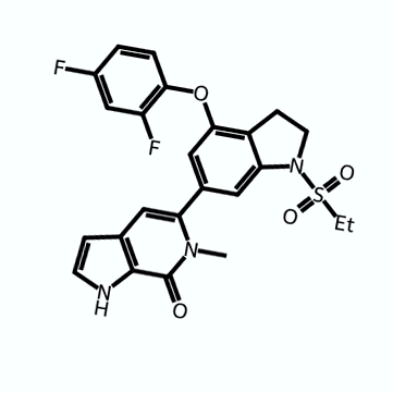 CCS(=O)(=O)N1CCc2c(Oc3ccc(F)cc3F)cc(-c3cc4cc[nH]c4c(=O)n3C)cc21